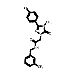 Cn1c(-c2ccc(Cl)cc2)nn(CC(=O)NCc2cccc(C(F)(F)F)c2)c1=O